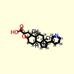 C[C@]1(CCC(=O)O)C(=O)CC[C@H]2[C@@H]1CC[C@]1(C)C(c3cccnc3)=CC[C@@H]21